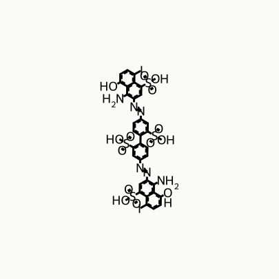 Nc1c(/N=N/c2ccc(-c3ccc(/N=N/c4cc(S(=O)(=O)O)c5c(I)ccc(O)c5c4N)cc3S(=O)(=O)O)c(S(=O)(=O)O)c2)cc(S(=O)(=O)O)c2c(I)ccc(O)c12